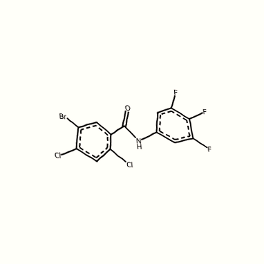 O=C(Nc1cc(F)c(F)c(F)c1)c1cc(Br)c(Cl)cc1Cl